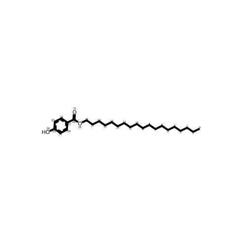 CCCCCCCCCCCCCCCCCCCOC(=O)c1ccc(O)cc1